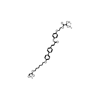 C=CC(=O)OCCCCCCOc1ccc(-c2ccc(/C=C/C(=O)Sc3ccc(OCCOC(=O)C(=C)C)cc3)cc2)cc1